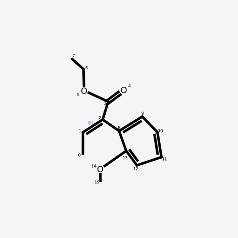 C/C=C(/C(=O)OCC)c1ccccc1OC